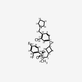 CN(CC1CC(Oc2ccc(CN3CCCC3)c(Cl)c2)C1)S(=O)(=O)c1ccc(F)cc1F